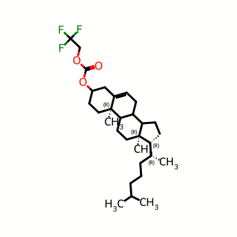 CC(C)CCC[C@@H](C)[C@H]1CCC2C3CC=C4CC(OC(=O)OCC(F)(F)F)CC[C@]4(C)C3CC[C@@]21C